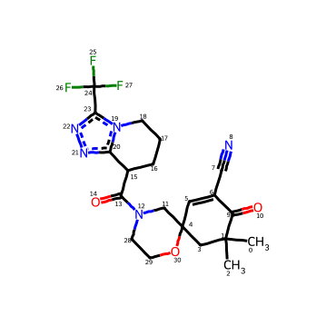 CC1(C)CC2(C=C(C#N)C1=O)CN(C(=O)C1CCCn3c1nnc3C(F)(F)F)CCO2